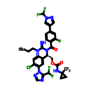 CC(C)(C)CCNC(=N)N(C(=O)c1ccc(-c2cnn(C(F)F)c2)cc1F)[C@H](COC(=O)NC1(C(F)(F)F)CC1)c1ccc(Cl)c(-n2ncnc2C(F)F)c1